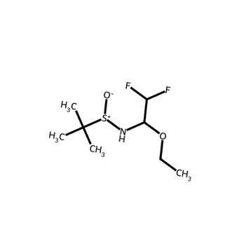 CCOC(N[S+]([O-])C(C)(C)C)C(F)F